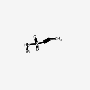 CC#CS(=O)(=O)NC(C)C